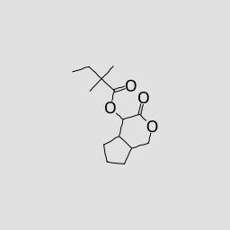 CCC(C)(C)C(=O)OC1C(=O)OCC2CCCC21